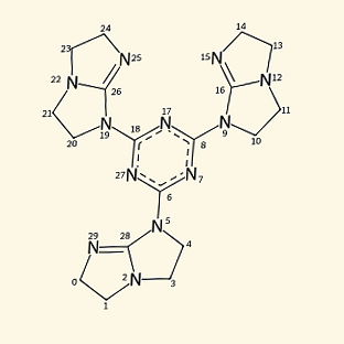 C1CN2CCN(c3nc(N4CCN5CCN=C54)nc(N4CCN5CCN=C54)n3)C2=N1